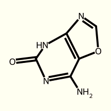 Nc1nc(=O)[nH]c2ncoc12